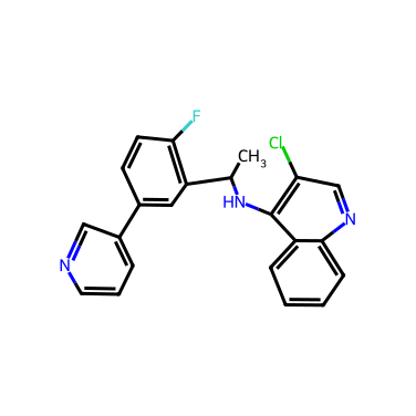 CC(Nc1c(Cl)cnc2ccccc12)c1cc(-c2cccnc2)ccc1F